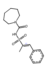 C/C(=C\c1ccccc1)S(=O)(=O)NC(=O)N1CCCCCC1